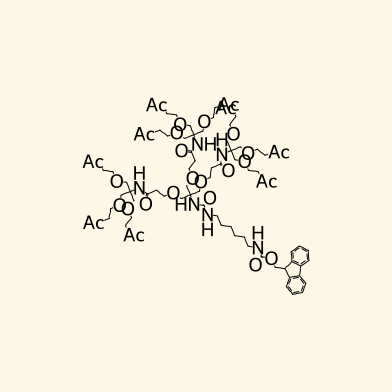 CC(=O)CCOCC(COCCC(C)=O)(COCCC(C)=O)NC(=O)CCOCC(COCCC(=O)NC(COCCC(C)=O)(COCCC(C)=O)COCCC(C)=O)(COCCC(=O)NC(COCCC(C)=O)(COCCC(C)=O)COCCC(C)=O)NC(=O)NCCCCCCNC(=O)OCC1c2ccccc2-c2ccccc21